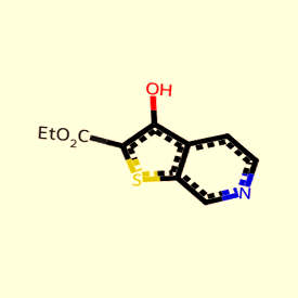 CCOC(=O)c1sc2cnccc2c1O